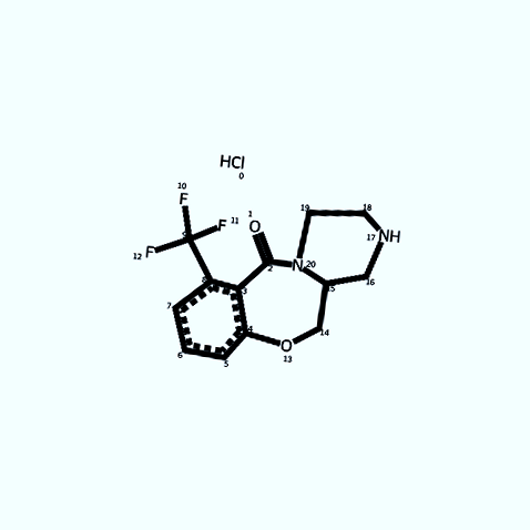 Cl.O=C1c2c(cccc2C(F)(F)F)OCC2CNCCN12